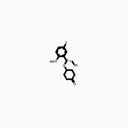 COc1ccc(F)cc1[C@H](CC(C)C)OC1CCC(=O)CC1